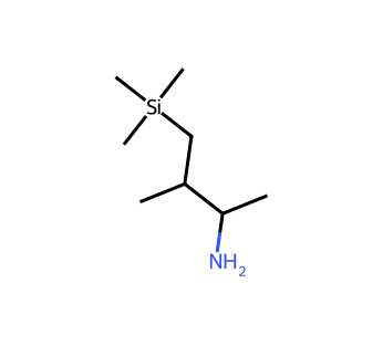 CC(N)C(C)C[Si](C)(C)C